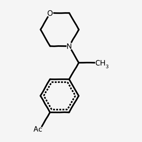 CC(=O)c1ccc(C(C)N2CCOCC2)cc1